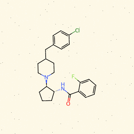 O=C(N[C@@H]1CCC[C@H]1N1CCC(Cc2ccc(Cl)cc2)CC1)c1ccccc1F